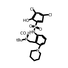 CC(C)(C)N(Cc1c(NS(=O)(=O)c2cc(Cl)cc(Cl)c2O)cccc1N1CCCCC1)C(=O)O